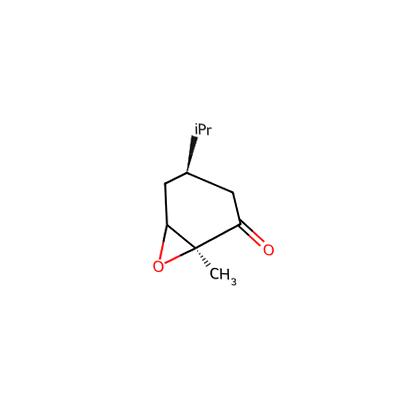 CC(C)[C@H]1CC(=O)[C@@]2(C)OC2C1